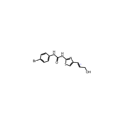 O=C(Nc1ccc(Br)cc1)Nc1nc(/C=C/CO)cs1